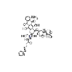 CO[C@H]1OCCN2[C@@H]1O[C@@H]1[C@H](C)O[C@@H](O[C@H]3C[C@](O)(/C(CO)=N/NC(=O)CCSSc4ccccn4)Cc4c(O)c5c(c(O)c43)C(=O)c3c(N)cccc3C5=O)C[C@@H]12